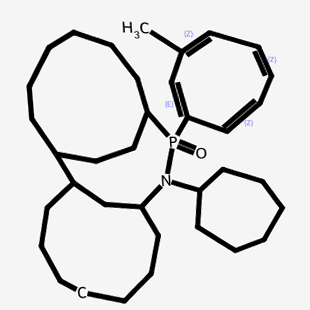 CC1=C/C=C\C=C/C(P2(=O)C3CCCCCCC(CC3)C3CCCCCCCC(C3)N2C2CCCCCC2)=C\1